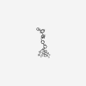 CC(C)(C)OC(=O)N(CC1CCC1)[C@@H]1CCCN(c2ccc(Cn3cc(-c4cncc(N5CCCC5)n4)nn3)cc2)C1